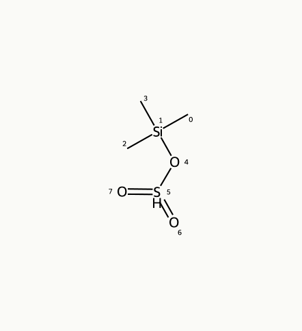 C[Si](C)(C)O[SH](=O)=O